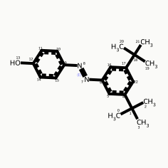 CC(C)(C)c1cc(/N=N/c2ccc(O)cc2)cc(C(C)(C)C)c1